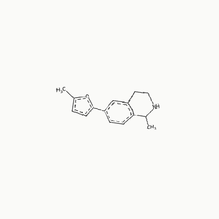 Cc1ccc(-c2ccc3c(c2)CCNC3C)o1